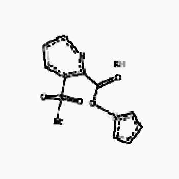 CCS(=O)(=O)c1cccnc1C(=O)On1cccc1.[KH]